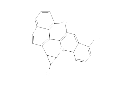 CC(C)C1=CC=CC2C1=CC1=C3c4c(ccc5cccc(c45)O1)C1C(O)C1N32